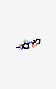 Cc1nc2ccc(NC(=O)C3(C)CC=CS3)c(Br)c2s1